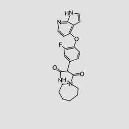 NC(=O)C(C(=O)N1CCCCCC1)c1ccc(Oc2ccnc3[nH]ccc23)c(F)c1